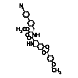 CCOc1ccc([C@H]2COc3cc4c(cc3O2)CNC(C(=O)N[C@@H](Cc2ccc(-c3ccc(C#N)cc3)cc2)C(=O)OC)C4)cc1